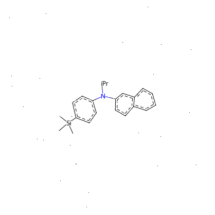 CC(C)N(c1ccc([Si](C)(C)C)cc1)c1ccc2ccccc2c1